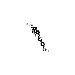 CCCC1CCC(C2=COC(CCc3ccc4c(c3F)C(F)(F)c3c-4ccc(OCC)c3F)CC2)CC1